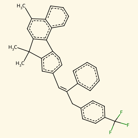 Cc1cc2c(c3ccccc13)-c1ccc(/C=C(/Cc3ccc(C(F)(F)F)cc3)c3ccccc3)cc1C2(C)C